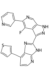 Fc1c(-c2cccnc2)ncc2[nH]nc(-c3nc4c(-c5ccsc5)ccnc4[nH]3)c12